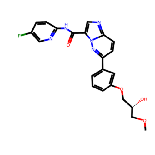 COC[C@@H](O)COc1cccc(-c2ccc3ncc(C(=O)Nc4ccc(F)cn4)n3n2)c1